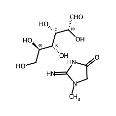 CN1CC(=O)NC1=N.O=C[C@H](O)[C@@H](O)[C@H](O)[C@H](O)CO